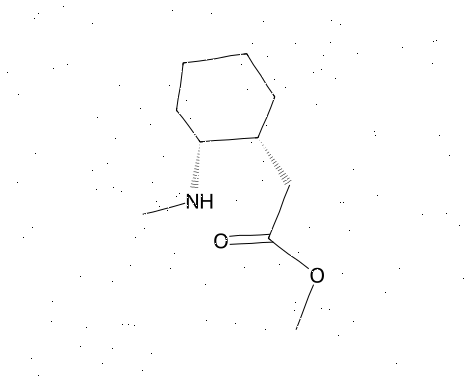 CN[C@@H]1CCCC[C@@H]1CC(=O)OC